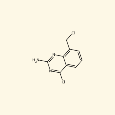 Nc1nc(Cl)c2cccc(CCl)c2n1